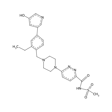 CCc1cc(-c2cncc(O)c2)ccc1CN1CCN(c2ccc(C(=O)NS(C)(=O)=O)nn2)CC1